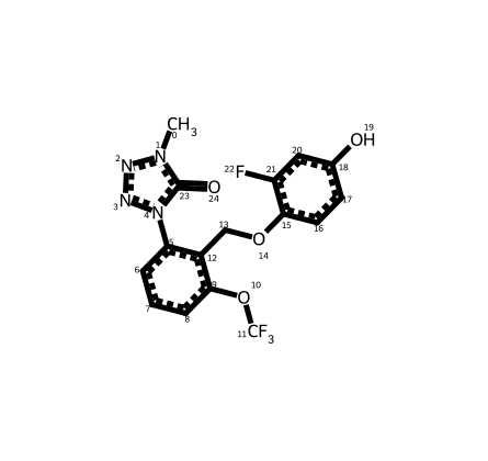 Cn1nnn(-c2cccc(OC(F)(F)F)c2COc2ccc(O)cc2F)c1=O